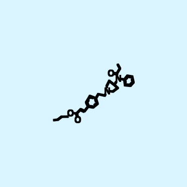 CCCCOC(=O)/C=C/c1ccc(CCN2CCC(N(C(=O)CC)c3ccccc3)CC2)cc1